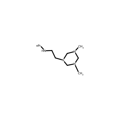 CCCNCCN1CN(C)CN(C)C1